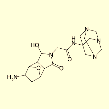 NC1CC2OC1C1C2C(=O)N(CC(=O)NC23CN4CN(CN(C4)C2)C3)C1O